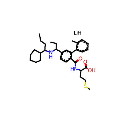 CCCC(NC(CC)c1ccc(C(=O)NC(CCSC)C(=O)O)c(-c2ccccc2C)c1)C1CCCCC1.[LiH]